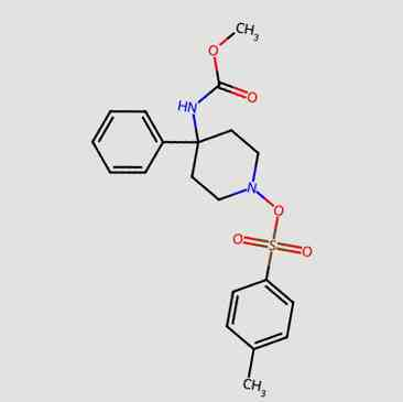 COC(=O)NC1(c2ccccc2)CCN(OS(=O)(=O)c2ccc(C)cc2)CC1